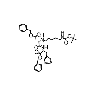 CC(C)(C)OC(=O)NCCCCCN[C@@H](CC(=O)OCc1ccccc1)C(=O)N[C@@H](Cc1ccccc1)C(=O)OCc1ccccc1